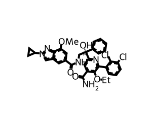 CCOc1c(C(N)=O)cc([C@@](O)(CNC(=O)c2cc(OC)c3nn(C4CC4)cc3c2)c2ccccc2)nc1-c1cccc(Cl)c1Cl